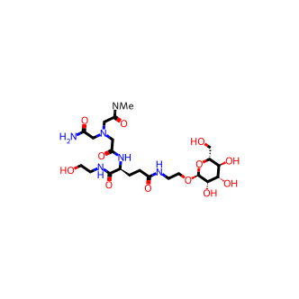 CNC(=O)CN(CC(N)=O)CC(=O)N[C@@H](CCC(=O)NCCO[C@H]1O[C@H](CO)[C@@H](O)[C@H](O)[C@@H]1O)C(=O)NCCO